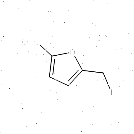 O=Cc1ccc(CI)o1